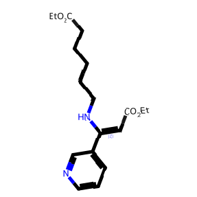 CCOC(=O)/C=C(\NCCCCCC(=O)OCC)c1cccnc1